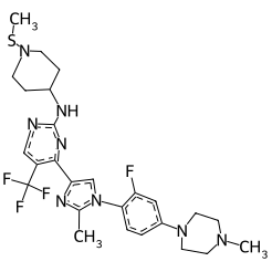 CSN1CCC(Nc2ncc(C(F)(F)F)c(-c3cn(-c4ccc(N5CCN(C)CC5)cc4F)c(C)n3)n2)CC1